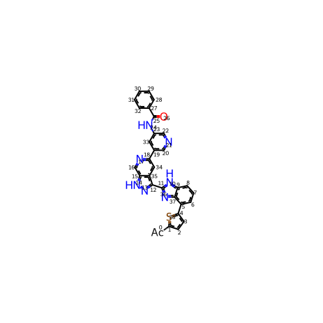 CC(=O)c1ccc(-c2cccc3[nH]c(-c4n[nH]c5cnc(-c6cncc(NC(=O)c7ccccc7)c6)cc45)nc23)s1